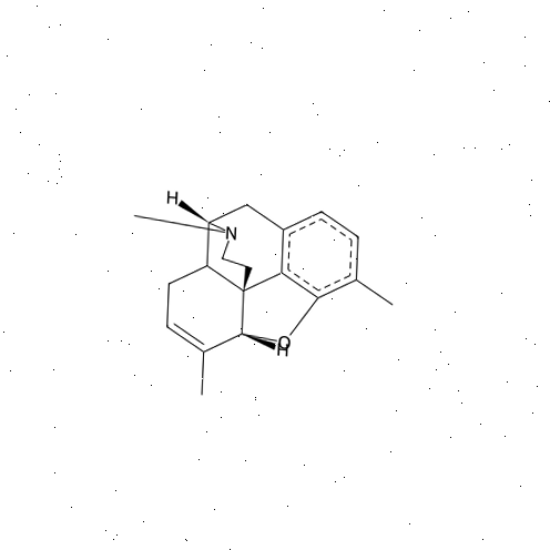 CC1=CCC2[C@@H]3Cc4ccc(C)c5c4[C@]2(CCN3C)[C@@H]1O5